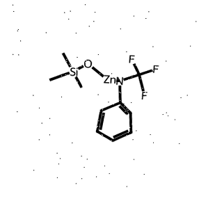 C[Si](C)(C)[O][Zn][N](c1ccccc1)C(F)(F)F